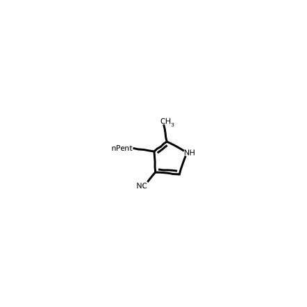 CCCCCc1c(C#N)c[nH]c1C